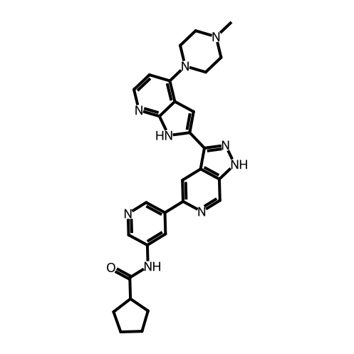 CN1CCN(c2ccnc3[nH]c(-c4n[nH]c5cnc(-c6cncc(NC(=O)C7CCCC7)c6)cc45)cc23)CC1